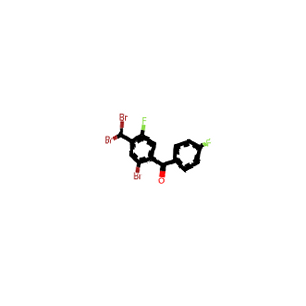 O=C(c1ccc(F)cc1)c1cc(F)c(C(Br)Br)cc1Br